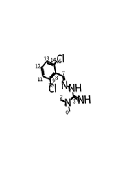 CN(C)C(=N)N/N=C/c1c(Cl)cccc1Cl